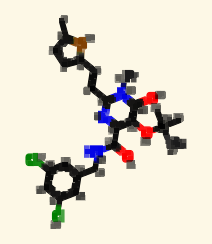 Cc1ccc(C=Cc2nc(C(=O)NCc3cc(Cl)cc(Cl)c3)c(O[Si](C)(C)C(C)(C)C)c(=O)n2C(C)C)s1